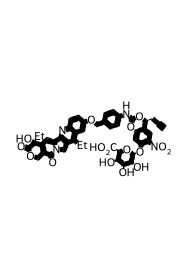 C#CC[C@@H](OC(=O)Nc1ccc(COc2ccc3nc4c(c(CC)c3c2)Cn2c-4cc3c(c2=O)COC(=O)[C@]3(O)CC)cc1)c1ccc(O[C@H]2O[C@@H](C(=O)O)[C@H](O)[C@@H](O)[C@@H]2O)c([N+](=O)[O-])c1